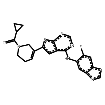 O=C(C1CC1)N1CCC=C(c2cc3c(Nc4cc5ncsc5cc4F)ncnc3s2)C1